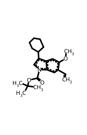 C=Cc1cc2c(cc1OC)c(C1CCCCC1)cn2C(=O)OC(C)(C)C